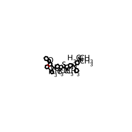 CC1(C)c2cc(N(c3ccccc3)c3ccc([Si](C)(C)C)cc3)ccc2-c2sc3c(c21)C(C)(C)c1cc(N(c2ccc4c(c2)oc2ccccc24)c2ccccc2-c2ccccc2)ccc1-3